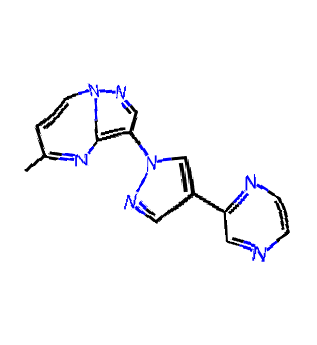 Cc1ccn2ncc(-n3cc(-c4cnccn4)cn3)c2n1